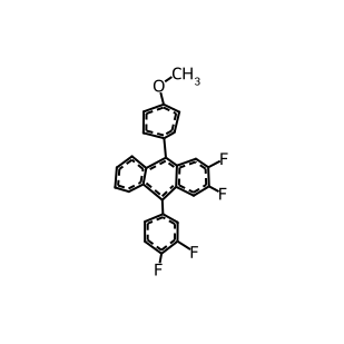 COc1ccc(-c2c3ccccc3c(-c3ccc(F)c(F)c3)c3cc(F)c(F)cc23)cc1